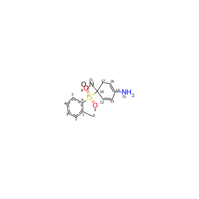 Cc1ccccc1S(=O)(=O)C1([N+](=O)[O-])C=CC(N)=CC1